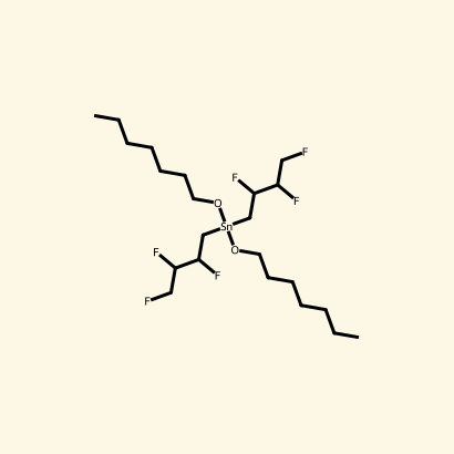 CCCCCCC[O][Sn]([CH2]C(F)C(F)CF)([CH2]C(F)C(F)CF)[O]CCCCCCC